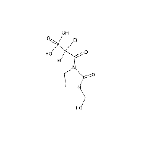 CCC(CC)(C(=O)N1CCN(CO)C1=O)P(=O)(O)O